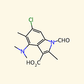 Cc1c(Cl)cc2c(c(C(=O)O)c(C)n2C=O)c1N(C)C